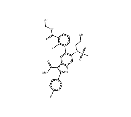 CNC(=O)c1c(-c2ccc(F)cc2)nn2cc(N(CCO)S(C)(=O)=O)c(-c3cccc(C(=O)NCC(C)C)c3Cl)cc12